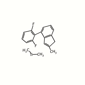 CC1=Cc2c(cccc2-c2c(F)cccc2F)C1.[CH3][Ti][CH3]